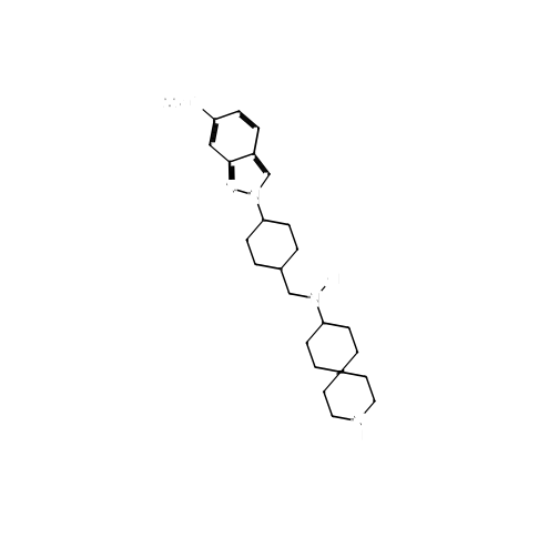 COc1ccc2cn(C3CCC(CN(C)C4CCC5(CCNCC5)CC4)CC3)nc2c1